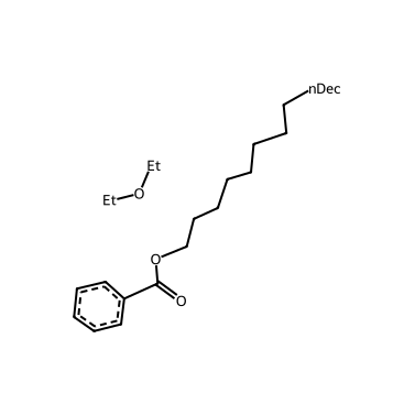 CCCCCCCCCCCCCCCCCCOC(=O)c1ccccc1.CCOCC